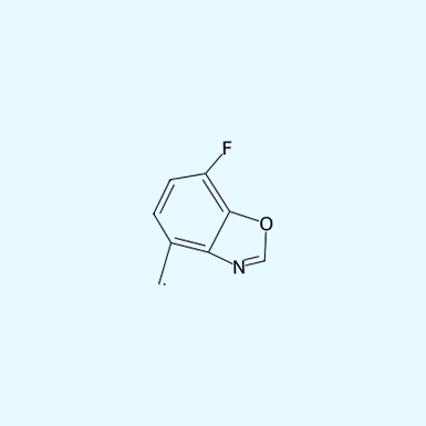 [CH2]c1ccc(F)c2ocnc12